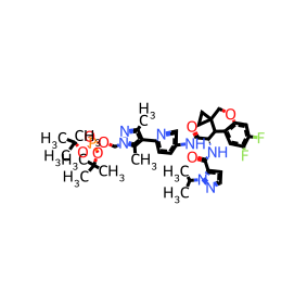 Cc1nn(COP(=O)(OC(C)(C)C)OC(C)(C)C)c(C)c1-c1ccc(NC(=O)[C@@H](NC(=O)c2ccnn2C(C)C)C2c3cc(F)c(F)cc3OCC23CC3)cn1